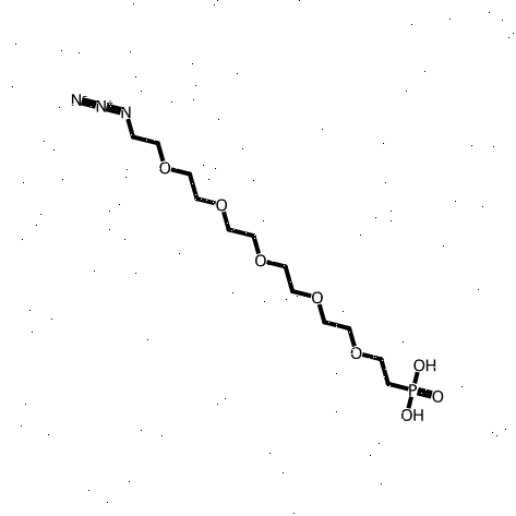 [N-]=[N+]=NCCOCCOCCOCCOCCOCCP(=O)(O)O